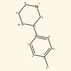 Cc1ccc(C2C[N]CCS2)cc1